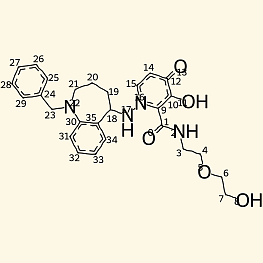 O=C(NCCOCCO)c1c(O)c(=O)ccn1NC1CCCN(Cc2ccccc2)c2ccccc21